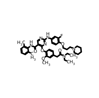 CCN(CC)C(=O)Cc1ccc(Oc2nc(Nc3ccc(OCCCN4CCCCC4)c(F)c3)ncc2C(=O)Nc2c(C)cccc2C)c(OC)c1